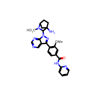 COc1cc(C(=O)Nc2ccccn2)ccc1-c1nn(C2N(C(=O)O)C3CCC2(N)C3)c2ncncc12